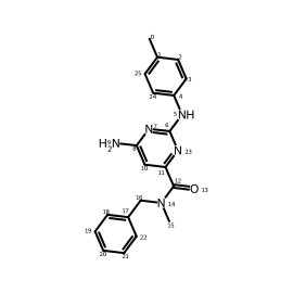 Cc1ccc(Nc2nc(N)cc(C(=O)N(C)Cc3ccccc3)n2)cc1